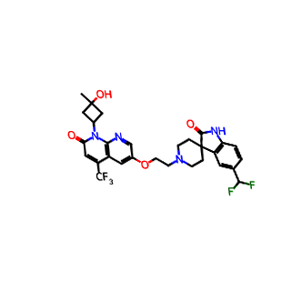 CC1(O)CC(n2c(=O)cc(C(F)(F)F)c3cc(OCCN4CCC5(CC4)C(=O)Nc4ccc(C(F)F)cc45)cnc32)C1